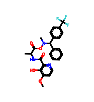 COc1ccnc(C(=O)NC(C)C(=O)ON(C)C(c2ccccc2)c2ccc(C(F)(F)F)cc2)c1O